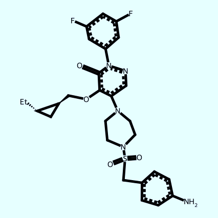 CC[C@H]1C[C@@H]1COc1c(N2CCN(S(=O)(=O)Cc3ccc(N)cc3)CC2)cnn(-c2cc(F)cc(F)c2)c1=O